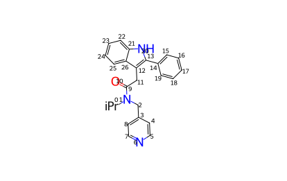 CC(C)N(Cc1ccncc1)C(=O)Cc1c(-c2ccccc2)[nH]c2ccccc12